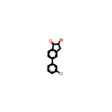 O=C1c2ccc(-c3cccc(Cl)c3)cc2CC1Br